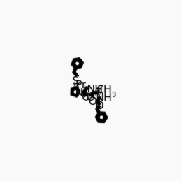 CC(C)[C@H](NC(=O)[C@H](C)NC(=O)OCc1ccccc1)C(=O)N1CCC[C@H]1CSCCc1ccccc1